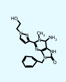 CN1C(c2ccn(CCO)n2)=Nc2c([nH]c(=O)n2Cc2ccccc2)C1N